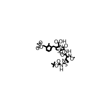 CON=C(C(=O)N[C@@H]1C(=O)N2C(C(=O)O)=C(Cc3cccc(COS(C)(=O)=O)c3C)CS[C@H]12)c1csc(NC(=O)OC(C)(C)C)n1